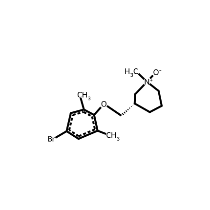 Cc1cc(Br)cc(C)c1OC[C@H]1CCC[N+](C)([O-])C1